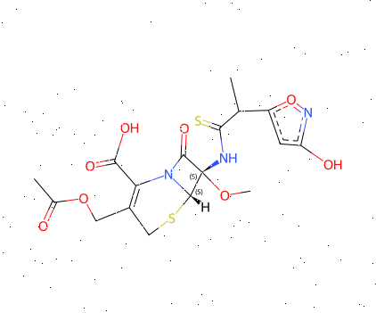 CO[C@@]1(NC(=S)C(C)c2cc(O)no2)C(=O)N2C(C(=O)O)=C(COC(C)=O)CS[C@H]21